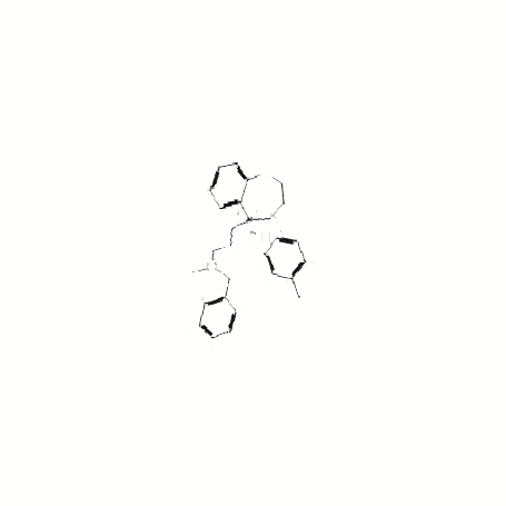 Cc1ccc([C@H]2CCOc3ccccc3[C@]2(O)CCCN(C)Cc2ccccc2)cc1